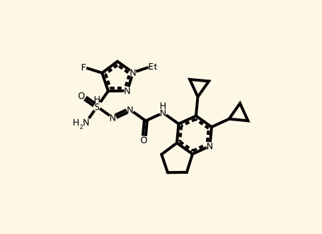 CCn1cc(F)c([SH](N)(=O)/N=N/C(=O)Nc2c3c(nc(C4CC4)c2C2CC2)CCC3)n1